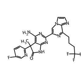 CC1(c2ccc(F)cn2)C(=O)Nc2nc(-c3cn4ccnc4c(CCCC(F)(F)F)n3)nc(N)c21